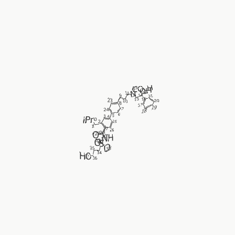 CC(C)Cc1cc(-c2ccc(CCCN(C[C@@H](O)c3ccccc3)C(=O)O)cc2)ccc1C(=O)NS(=O)(=O)CCCO